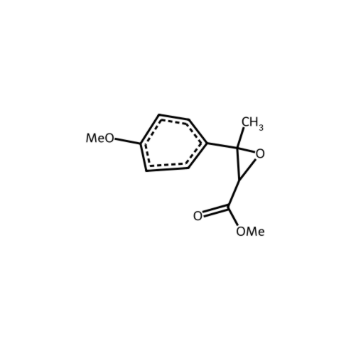 COC(=O)C1OC1(C)c1ccc(OC)cc1